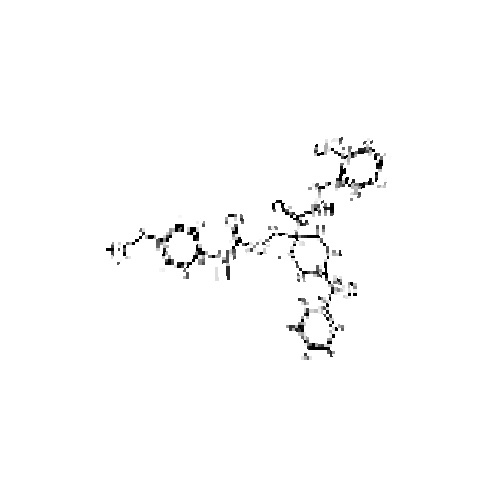 CCc1ccc(NC(=O)OCC2(C(=O)NCc3ccccc3Cl)CCN(C(=O)c3ccccc3)CC2)cc1